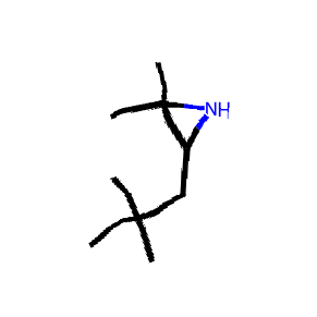 CC(C)(C)CC1NC1(C)C